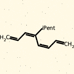 C=C/C=C\C(=C/C=C)C(C)CCC